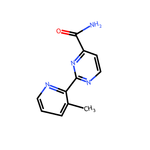 Cc1cccnc1-c1nccc(C(N)=O)n1